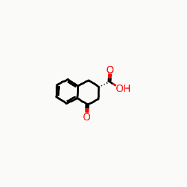 O=C1C[C@@H](C(=O)O)Cc2ccccc21